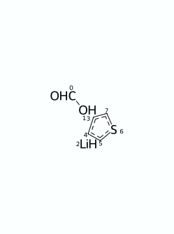 O=CO.[LiH].c1ccsc1